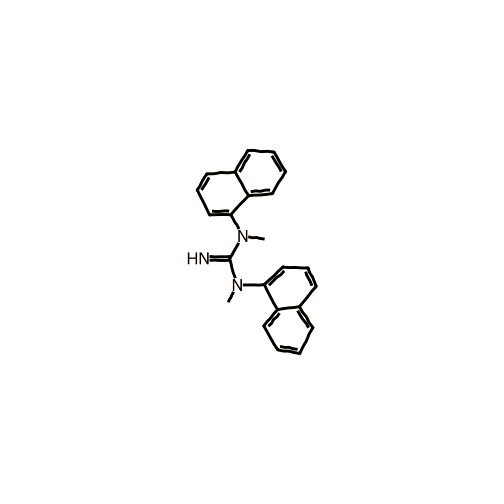 CN(C(=N)N(C)c1cccc2ccccc12)c1cccc2ccccc12